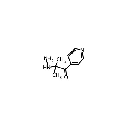 CC(C)(NN)C(=O)c1ccncc1